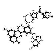 CCc1c(F)ccc2cc(O)cc(N3CCc4c(nc(OC[C@@]56CCCN5C[C@H](F)C6)nc4N4CCCn5nc(C(=O)N6CC7CC6CN7)cc5C4)C3)c12